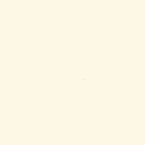 C/C(=C1/OC(CO)C(O)C(C(C)O)[C@@H]1O)C1C(O)C(CO)C[C@@H](O)C1O